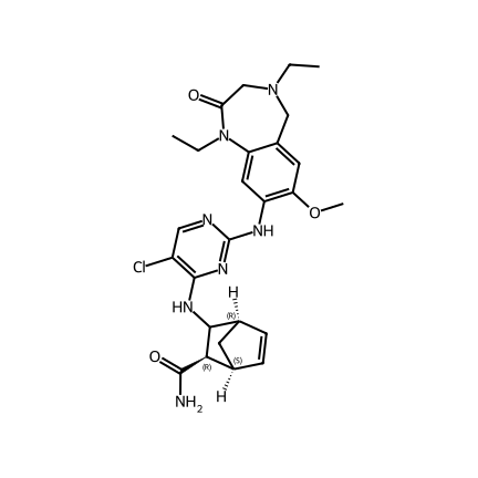 CCN1CC(=O)N(CC)c2cc(Nc3ncc(Cl)c(NC4[C@H]5C=C[C@H](C5)[C@H]4C(N)=O)n3)c(OC)cc2C1